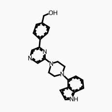 OCc1ccc(-c2cncc(N3CCN(c4cccc5[nH]ccc45)CC3)n2)cc1